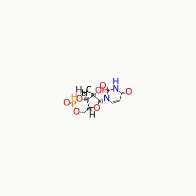 C[C@@]1(O)[C@@H]2O[PH](=O)OC[C@H]2O[C@H]1n1ccc(=O)[nH]c1=O